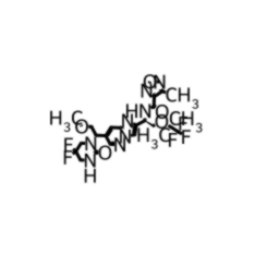 COCC(c1cnn2cc([C@H](COC(C)(C)C(F)(F)F)NC(=O)c3nonc3C)nc2c1)N1CC(F)(F)CNC1=O